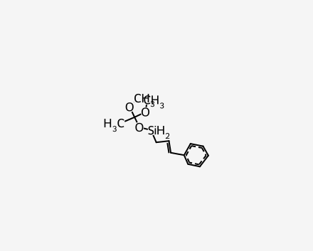 COC(C)(OC)O[SiH2]CC=Cc1ccccc1